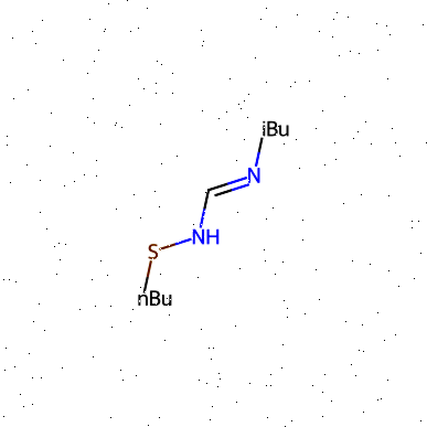 CCCCSN/C=N/C(C)CC